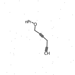 C#CCC#CCOCCC